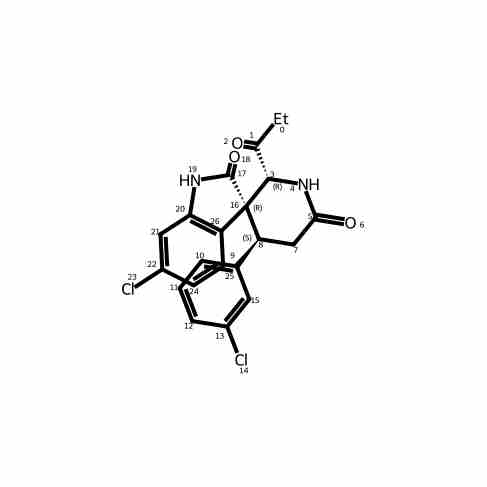 CCC(=O)[C@@H]1NC(=O)C[C@@H](c2cccc(Cl)c2)[C@]12C(=O)Nc1cc(Cl)ccc12